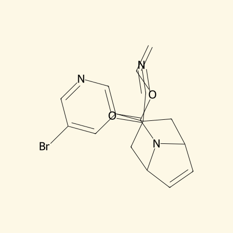 C=COC(=O)N1C2C=CC1CC(C#N)(c1cncc(Br)c1)C2